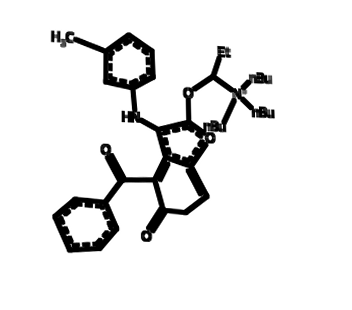 CCCC[N+](CCCC)(CCCC)C(CC)Oc1oc2c(c1Nc1cccc(C)c1)=C(C(=O)c1ccccc1)C(=O)CC=2